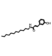 CCCCCCCCCCCCNC(=O)/C=C/c1cccc(O)c1